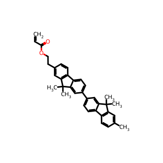 C=CC(=O)OCCc1ccc2c(c1)C(C)(C)c1cc(-c3ccc4c(c3)C(C)(C)c3cc(C)ccc3-4)ccc1-2